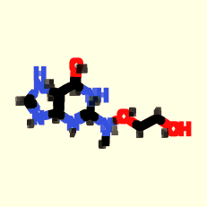 CN(OCCO)c1nc2nc[nH]c2c(=O)[nH]1